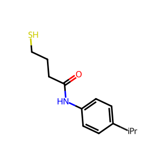 CC(C)c1ccc(NC(=O)CCCS)cc1